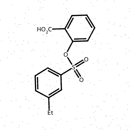 CCc1cccc(S(=O)(=O)Oc2ccccc2C(=O)O)c1